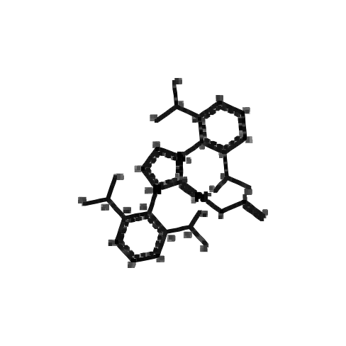 C=C[CH2][Pd-]=[c]1n(-c2c(C(C)C)cccc2C(C)C)ccn1-c1c(C(C)C)cccc1C(C)C